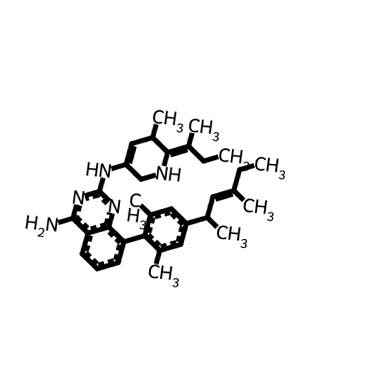 CC/C(C)=C1\NCC(Nc2nc(N)c3cccc(-c4c(C)cc(C(C)/C=C(\C)CC)cc4C)c3n2)=CC1C